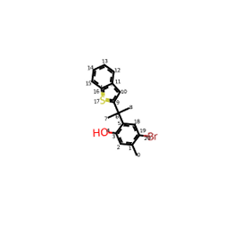 Cc1cc(O)c(C(C)(C)c2cc3ccccc3s2)cc1Br